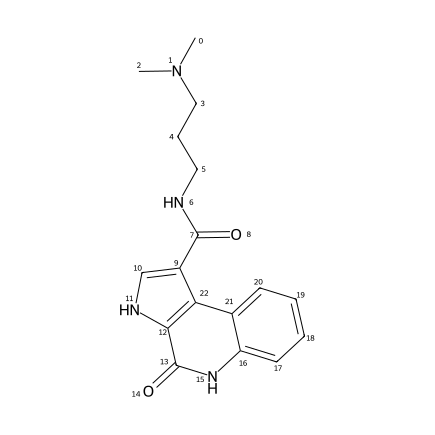 CN(C)CCCNC(=O)c1c[nH]c2c(=O)[nH]c3ccccc3c12